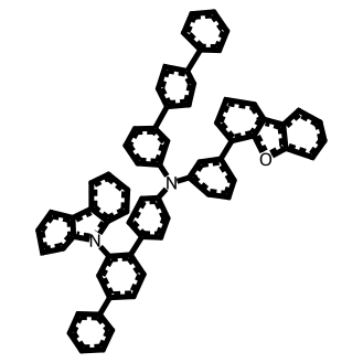 c1ccc(-c2ccc(-c3cccc(N(c4ccc(-c5ccc(-c6ccccc6)cc5-n5c6ccccc6c6ccccc65)cc4)c4cccc(-c5cccc6c5oc5ccccc56)c4)c3)cc2)cc1